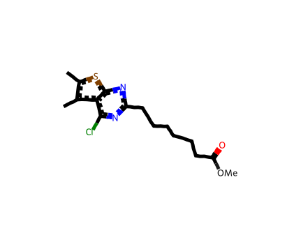 COC(=O)CCCCCCc1nc(Cl)c2c(C)c(C)sc2n1